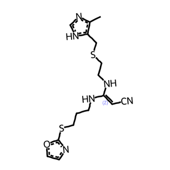 Cc1nc[nH]c1CSCCN/C(=C\C#N)NCCCSc1ncco1